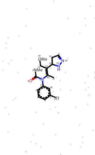 CCc1cccc(N(C(=O)NC)/C(C)=C(\COC)C2CC=NN2)c1